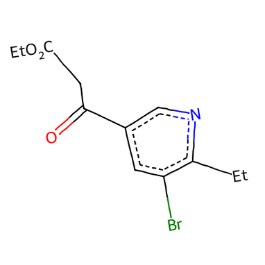 CCOC(=O)CC(=O)c1cnc(CC)c(Br)c1